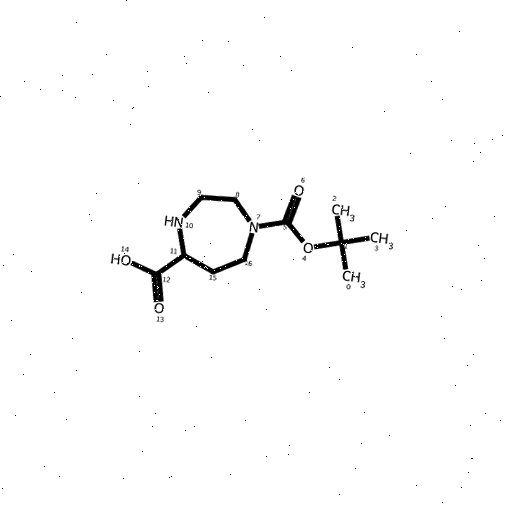 CC(C)(C)OC(=O)N1CCNC(C(=O)O)CC1